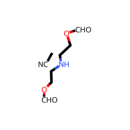 CC#N.O=COCCNCCOC=O